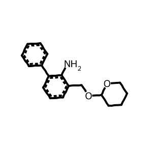 Nc1c(COC2CCCCO2)cccc1-c1ccccc1